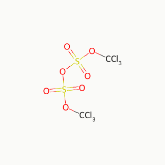 O=S(=O)(OC(Cl)(Cl)Cl)OS(=O)(=O)OC(Cl)(Cl)Cl